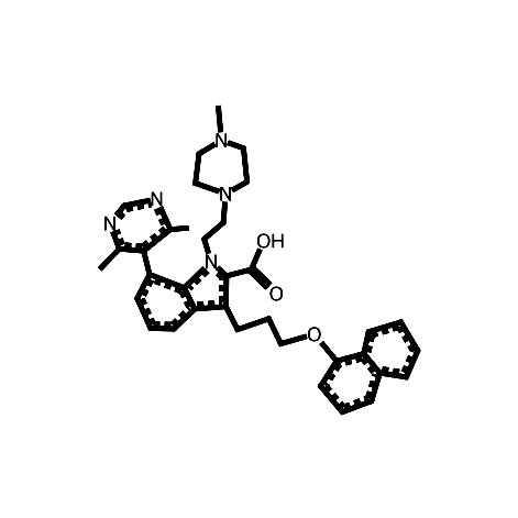 Cc1ncnc(C)c1-c1cccc2c(CCCOc3cccc4ccccc34)c(C(=O)O)n(CCN3CCN(C)CC3)c12